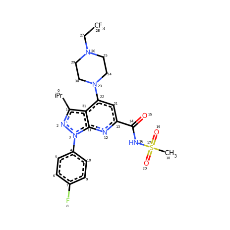 CC(C)c1nn(-c2ccc(F)cc2)c2nc(C(=O)NS(C)(=O)=O)cc(N3CCN(CC(F)(F)F)CC3)c12